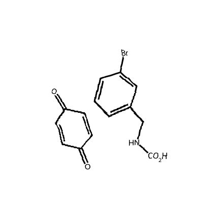 O=C(O)NCc1cccc(Br)c1.O=C1C=CC(=O)C=C1